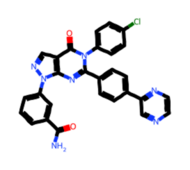 NC(=O)c1cccc(-n2ncc3c(=O)n(-c4ccc(Cl)cc4)c(-c4ccc(-c5cnccn5)cc4)nc32)c1